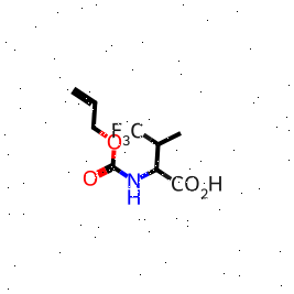 C=CCOC(=O)NC(C(=O)O)C(C)C(F)(F)F